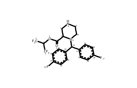 O=C(OC(C(F)(F)F)C(F)(F)F)C1CNCCN1C(c1ccc(F)cc1)c1ccc(F)cc1